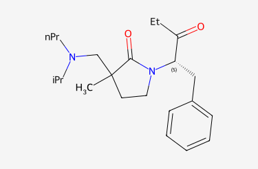 CCCN(CC1(C)CCN([C@@H](Cc2ccccc2)C(=O)CC)C1=O)C(C)C